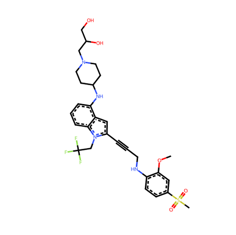 COc1cc(S(C)(=O)=O)ccc1NCC#Cc1cc2c(NC3CCN(CC(O)CO)CC3)cccc2n1CC(F)(F)F